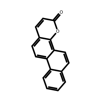 O=c1ccc2ccc3c4ccccc4ccc3c2o1